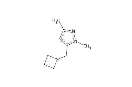 Cc1cc(CN2CCC2)n(C)n1